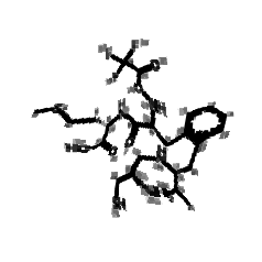 CSCC[C@H](NC(=O)[C@H](Cc1ccccc1C[C@H](NC[C@@H](N)CS)C(C)C)NOC(=O)C(F)(F)F)C(=O)O